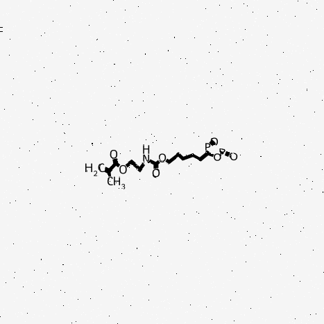 C=C(C)C(=O)OCCNC(=O)OCCCCCC(OP=O)P=O